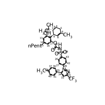 C=C(C)[C@@H]1CCC(C)=C[C@H]1c1c(O)cc(CCCCC)cc1OC(=O)NS(=O)(=O)c1ccc(-n2nc(C(F)(F)F)cc2-c2ccc(C)cc2)cc1